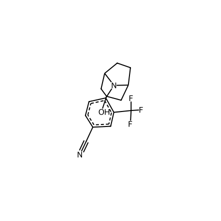 N#Cc1ccc(N2C3CCC2CC(O)C3)c(C(F)(F)F)c1